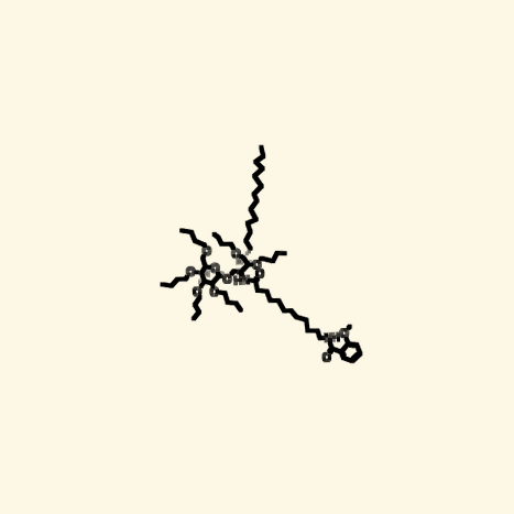 CCCCCCCCCCCCCC[C@@H](OCCCC)[C@@H](OCCCC)[C@H](CO[C@H]1OC(COCCCC)[C@H](OCCCC)[C@H](OCCCC)C1OCCCC)NC(=O)CCCCCCCCCCCNC(=O)c1ccccc1OC